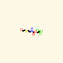 O=[C]CS/C=C/NC(=O)OCC(Cl)(Cl)Cl